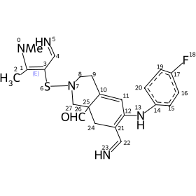 CN/C(C)=C(\C=N)SN1CCC2=CC(Nc3ccc(F)cc3)=C(C=N)CC2(C=O)C1